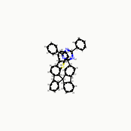 c1ccc(-c2nc(-c3ccccc3)nc(-c3ccc4c(c3)C3(c5ccccc5-4)c4ccccc4-c4ccc5c(sc6ccccc65)c43)n2)cc1